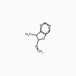 C=NC1Oc2cncnc2C1C